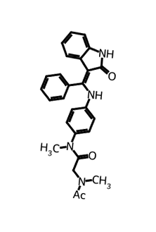 CC(=O)N(C)CC(=O)N(C)c1ccc(N/C(=C2\C(=O)Nc3ccccc32)c2ccccc2)cc1